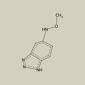 CONc1ccc2[nH]nnc2c1